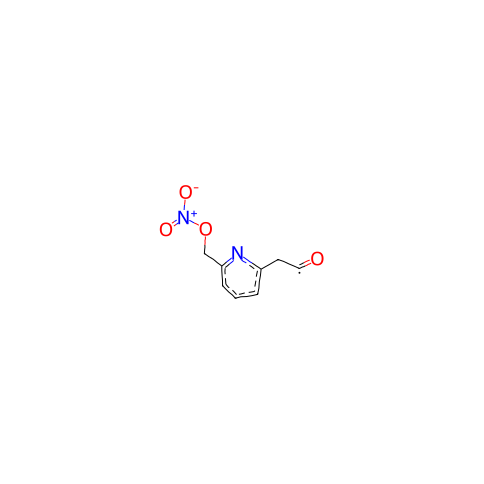 O=[C]Cc1cccc(CO[N+](=O)[O-])n1